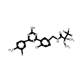 CO[C@](C)(C(=O)NCc1ccc(Cl)c(-c2nc(O)nc(-c3ccc(C)c(F)c3)n2)c1)C(F)(F)F